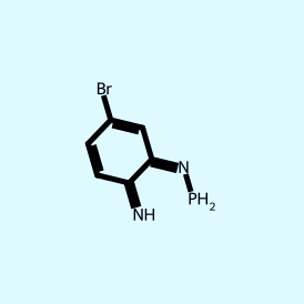 N=C1C=CC(Br)=C/C1=N/P